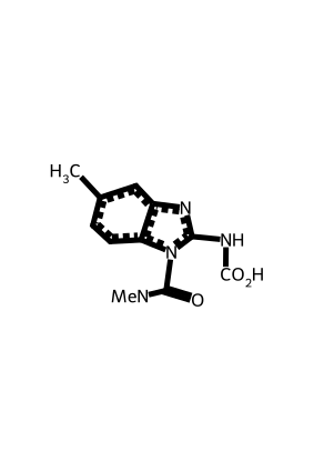 CNC(=O)n1c(NC(=O)O)nc2cc(C)ccc21